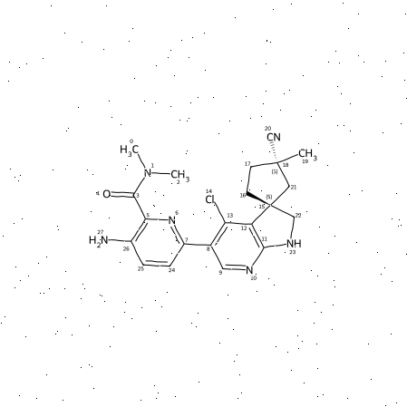 CN(C)C(=O)c1nc(-c2cnc3c(c2Cl)[C@@]2(CC[C@](C)(C#N)C2)CN3)ccc1N